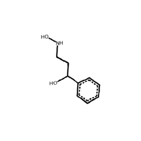 ONCCC(O)c1ccccc1